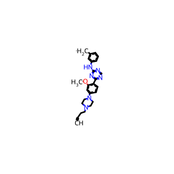 C#CCCN1CCN(c2ccc(-c3ncnc(Nc4cccc([CH2])c4)n3)c(OC)c2)CC1